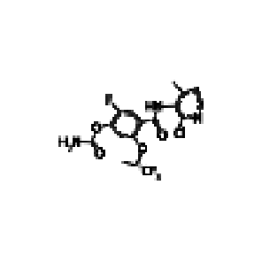 Cc1ccnc(Cl)c1NC(=O)c1cc(F)c(OC(N)=O)cc1O[C@@H](C)C(F)(F)F